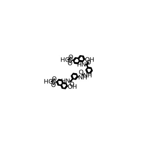 O=C(Nc1cccc(C(=O)Nc2c(O)ccc3cc(S(=O)(=O)O)ccc23)c1)Nc1cccc(C(=O)Nc2c(O)ccc3cc(S(=O)(=O)O)ccc23)c1